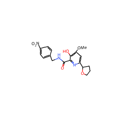 COc1cc(C2CCCO2)nc(C(=O)NCc2ccc([N+](=O)[O-])cc2)c1O